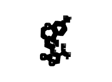 O=C1OC[C@@H](C(F)F)N1c1cn2c(n1)-c1ccc(Br)cc1OCC2